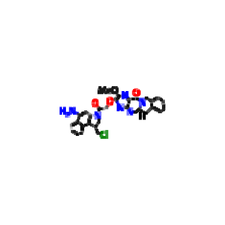 COc1nc2c(nc1OCC(=O)N1C[C@@H](CCl)c3c1cc(N)c1ccccc31)N=C[C@@H]1Cc3ccccc3CN1C2=O